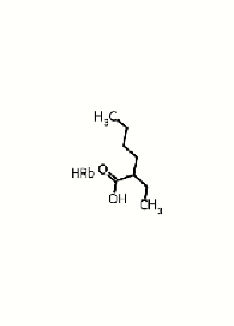 CCCCC(CC)C(=O)O.[RbH]